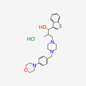 CC(CN1CCN(Cc2ccc(N3CCOCC3)cc2)CC1)C(O)c1csc2ccccc12.Cl